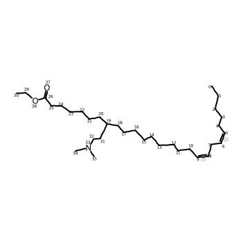 CCCCC/C=C\C/C=C\CCCCCCCCCC(CCCCCCC(=O)OCC)CCN(C)C